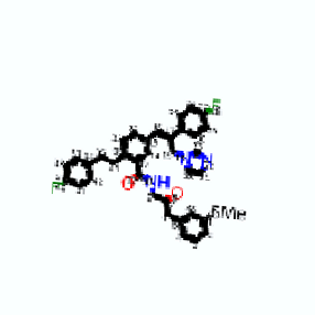 CSc1cccc(CC(=O)CNC(=O)c2cc(C=C(Cn3ccnc3)c3ccc(F)cc3)ccc2CCc2ccc(F)cc2)c1